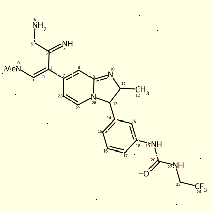 CN/C=C(\C(=N)CN)C1=CC2=NC(C)C(c3cccc(NC(=O)NCC(F)(F)F)c3)N2C=C1